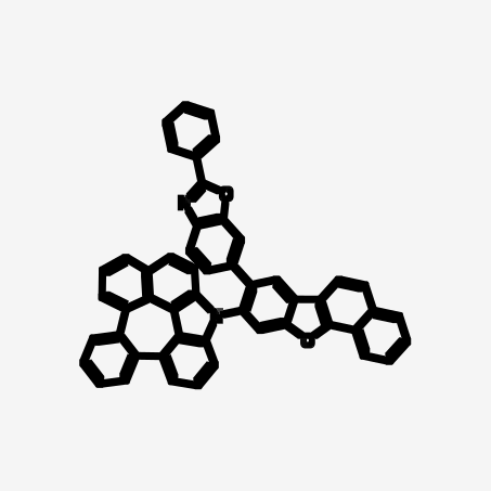 c1ccc(-c2nc3ccc(-c4cc5c(cc4-n4c6cccc7c6c6c8c(cccc8ccc64)-c4ccccc4-7)oc4c6ccccc6ccc54)cc3o2)cc1